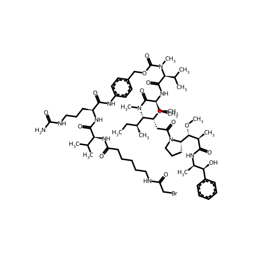 CC[C@H](NC(=O)[C@H](C(C)C)N(C)C(=O)OCc1ccc(NC(=O)[C@H](CCCNC(N)=O)NC(=O)[C@@H](NC(=O)CCCCCNC(=O)CBr)C(C)C)cc1)C(=O)N(C)[C@@H]([C@@H](C)CC)[C@@H](CC(=O)N1CCC[C@H]1[C@H](OC)[C@@H](C)C(=O)N[C@H](C)[C@@H](O)c1ccccc1)OC